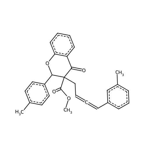 COC(=O)C1(CC=C=Cc2cccc(C)c2)C(=O)c2ccccc2OC1c1ccc(C)cc1